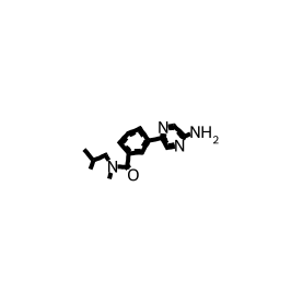 CC(C)CN(C)C(=O)c1cccc(-c2cnc(N)cn2)c1